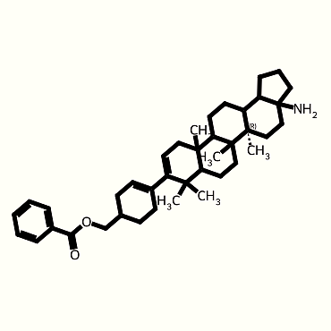 CC1(C)C(C2=CCC(COC(=O)c3ccccc3)CC2)=CCC2(C)C1CCC1(C)C2CCC2C3CCCC3(N)CC[C@]21C